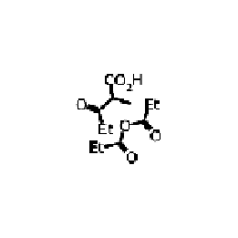 CCC(=O)C(C)C(=O)O.CCC(=O)OC(=O)CC